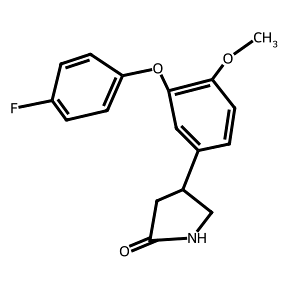 COc1ccc(C2CNC(=O)C2)cc1Oc1ccc(F)cc1